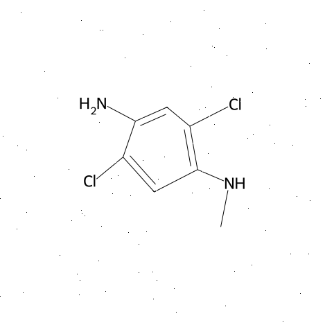 CNc1cc(Cl)c(N)cc1Cl